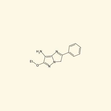 CCOc1nn2c(c1N)N=C(c1ccccc1)C2